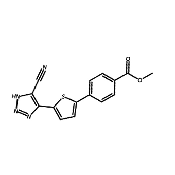 COC(=O)c1ccc(-c2ccc(-c3nn[nH]c3C#N)s2)cc1